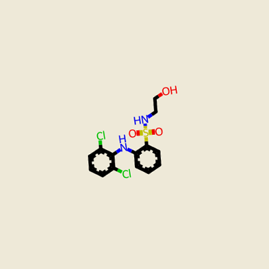 O=S(=O)(NCCO)c1ccccc1Nc1c(Cl)cccc1Cl